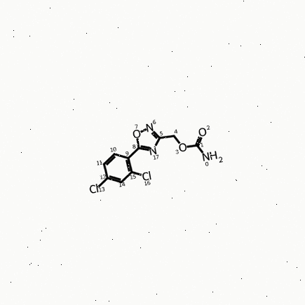 NC(=O)OCc1noc(-c2ccc(Cl)cc2Cl)n1